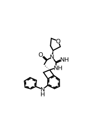 N=C1N[C@]2(CC(=O)N1[C@H]1CCOC1)Cc1c(Nc3ccccc3)cccc12